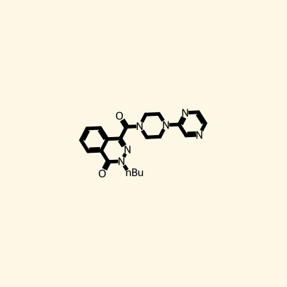 CCCCn1nc(C(=O)N2CCN(c3cnccn3)CC2)c2ccccc2c1=O